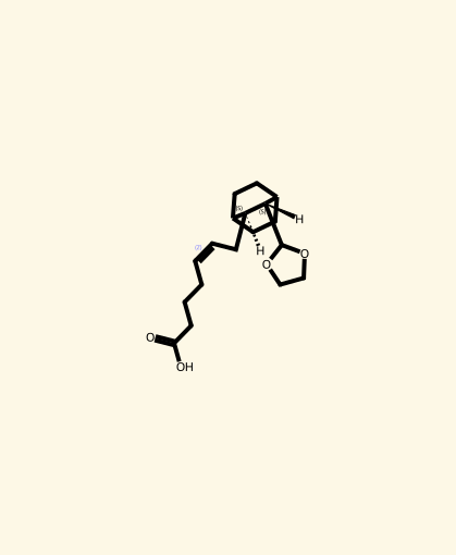 O=C(O)CCC/C=C\C[C@H]1C2CCC(CC2)[C@@H]1C1OCCO1